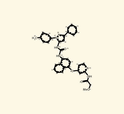 COCC(=O)Nc1cc(Oc2ccc(NC(=O)Nc3cc(-c4ccccc4)nn3-c3ccc(C)cc3)c3ccccc23)ccn1